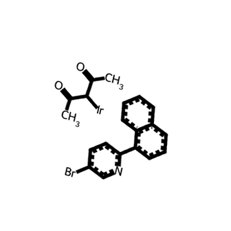 Brc1ccc(-c2cccc3ccccc23)nc1.CC(=O)[CH]([Ir])C(C)=O